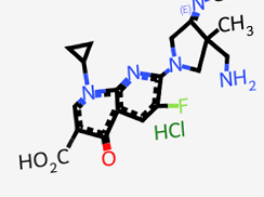 CO/N=C1/CN(c2nc3c(cc2F)c(=O)c(C(=O)O)cn3C2CC2)CC1(C)CN.Cl